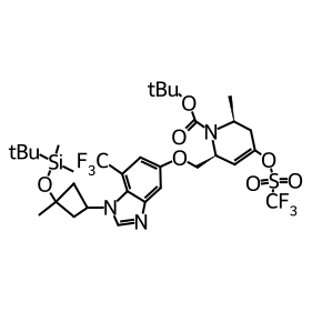 C[C@H]1CC(OS(=O)(=O)C(F)(F)F)=C[C@@H](COc2cc(C(F)(F)F)c3c(c2)ncn3C2CC(C)(O[Si](C)(C)C(C)(C)C)C2)N1C(=O)OC(C)(C)C